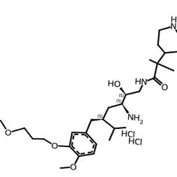 COCCCOc1cc(C[C@@H](C[C@H](N)[C@@H](O)CNC(=O)C(C)(C)C2CCNCC2)C(C)C)ccc1OC.Cl.Cl